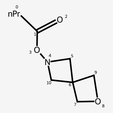 CCCC(=O)ON1CC2(COC2)C1